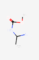 COC(N)NC(=O)OC(C)(C)C